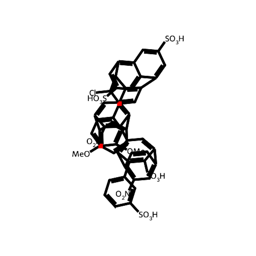 COc1[c]ccc(-c2cc3c(-c4cc5c([N+](=O)[O-])c(-c6cc7c(S(=O)(=O)O)c(-c8cc[c]c(S(=O)(=O)O)c8)c6-c6ccc-7cc6[N+](=O)[O-])c4-c4ccc(OC)c-5c4)c(c2Cl)-c2cc(S(=O)(=O)O)cc4c-3cc(S(=O)(=O)O)cc24)c1